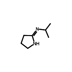 CC(C)/N=C1/CCCN1